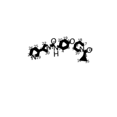 O=C(Nc1ccc(OC2CCN(C(=O)C3CC3)CC2)cc1)N1CC(c2cccnc2)C1